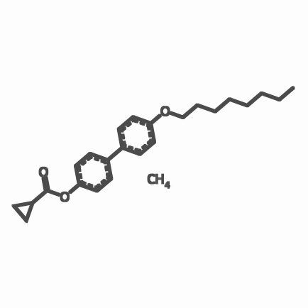 C.CCCCCCCCOc1ccc(-c2ccc(OC(=O)C3CC3)cc2)cc1